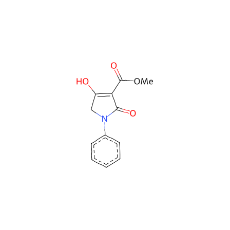 COC(=O)C1=C(O)CN(c2ccccc2)C1=O